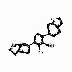 Nc1c(-c2ccc3cc[nH]c3c2)ccc(-c2ccc3cc[nH]c3c2)c1N